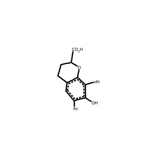 CCCc1c(O)c(C(C)=O)cc2c1OC(C(=O)O)CC2